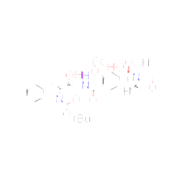 CCOc1cc(C(=O)N2[C@@H]3COC[C@@H]2CC(O)C3)ccc1C(=O)NC[C@@H](O)[C@@H]1Cc2ccccc2CN1C(=O)OC(C)(C)C